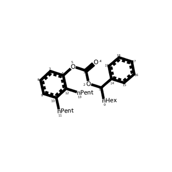 CCCCCCC(OC(=O)Oc1cccc(CCCCC)c1CCCCC)c1ccccc1